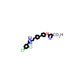 CCn1cc(-c2ccc(Cl)cc2Cl)nc1/C=C/c1ccc(-c2ccc(Oc3cncc(C(=O)O)c3)cc2)cc1